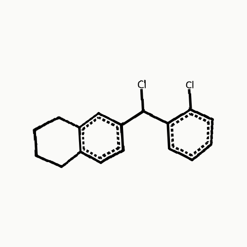 Clc1ccccc1C(Cl)c1ccc2c(c1)CCCC2